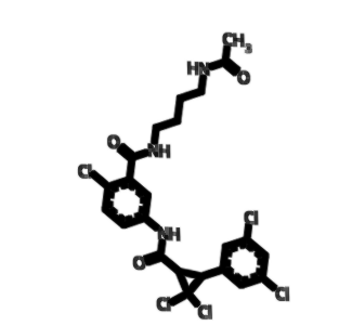 CC(=O)NCCCCNC(=O)c1cc(NC(=O)C2C(c3cc(Cl)cc(Cl)c3)C2(Cl)Cl)ccc1Cl